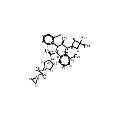 Cc1ccccc1C(C(=O)NC1CC(F)(F)C1)N(C(=O)[C@@H]1CCN(S(=O)(=O)N2CC2)C1)c1cccc(F)c1